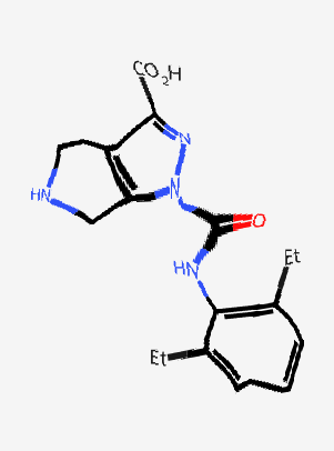 CCc1cccc(CC)c1NC(=O)n1nc(C(=O)O)c2c1CNC2